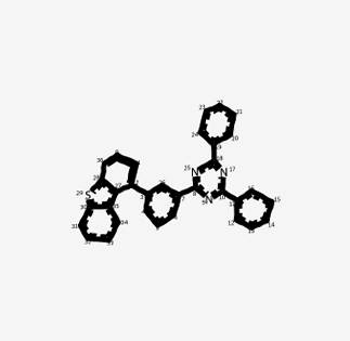 C1=C=C(c2cccc(-c3nc(-c4ccccc4)nc(-c4ccccc4)n3)c2)c2c(sc3ccccc23)C=1